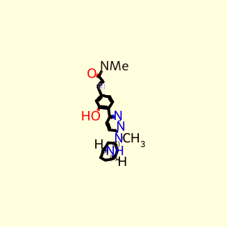 CNC(=O)/C=C/c1ccc(-c2ccc(N(C)[C@@H]3C[C@H]4CC[C@@H](C3)N4)nn2)c(O)c1